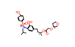 COc1ccc(S(=O)(=O)N(CC(C)C)c2ccc(CC[C@H](C)OC(=O)CO[C@@H]3CCOC3)cc2O)cc1